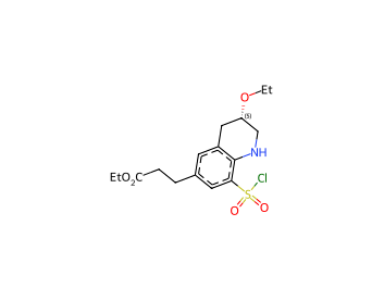 CCOC(=O)CCc1cc2c(c(S(=O)(=O)Cl)c1)NC[C@@H](OCC)C2